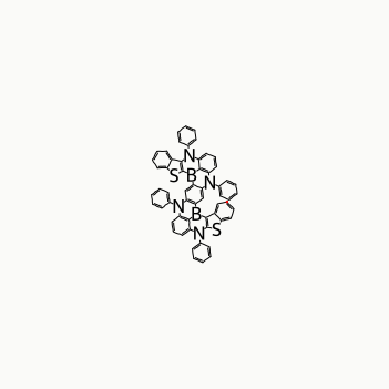 c1ccc(N2c3cc4c(cc3B3c5c2cccc5N(c2ccccc2)c2sc5ccccc5c23)N(c2ccccc2)c2cccc3c2B4c2sc4ccccc4c2N3c2ccccc2)cc1